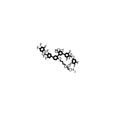 C=CC(=O)OCCCCOc1ccc(-c2cc(F)c(C(F)(F)Oc3cc(F)c(F)c(F)c3)c(F)c2)cc1-c1cc(-c2cc(F)c(C(F)(F)Oc3cc(F)c(F)c(F)c3)c(F)c2)ccc1OCCCCCCCC